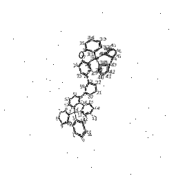 c1ccc(C2(c3ccccc3)c3ccccc3-c3c(-c4cccc(-c5ccc6c(c5)C5(c7ccccc7O6)c6ccccc6-c6ccccc65)c4)cccc32)cc1